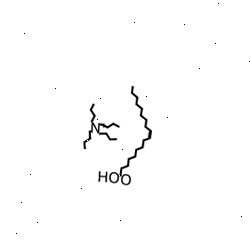 CCCCCCCC/C=C\CCCCCCCC(=O)O.CCCC[N+](CCCC)(CCCC)CCCC